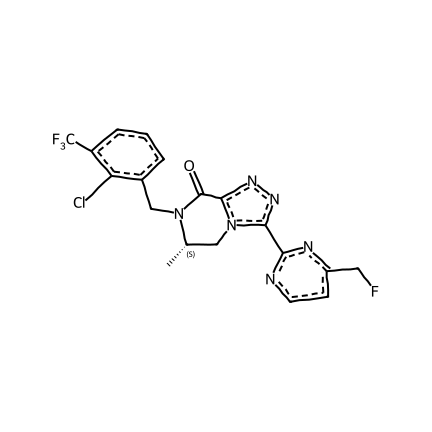 C[C@H]1Cn2c(nnc2-c2nccc(CF)n2)C(=O)N1Cc1cccc(C(F)(F)F)c1Cl